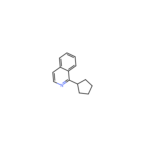 c1ccc2c(C3CCCC3)nccc2c1